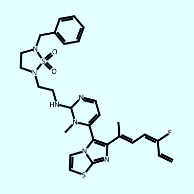 C=C/C(F)=C\C=C(/C)c1nc2sccn2c1C1=CC=NC(NCCN2CCN(Cc3ccccc3)S2(=O)=O)N1C